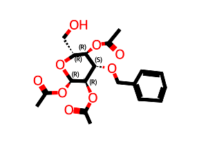 CC(=O)O[C@H]1O[C@H](CO)[C@@H](OC(C)=O)[C@H](OCc2ccccc2)[C@H]1OC(C)=O